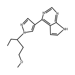 CCC(CCOC)n1cc(-c2ncnc3[nH]ccc23)cn1